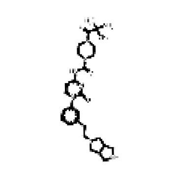 CC(C)(N)C(=O)N1CCN(C(=O)Nc2ccn(-c3cccc(CCN4CC5CNCC5C4)c3)c(=O)n2)CC1